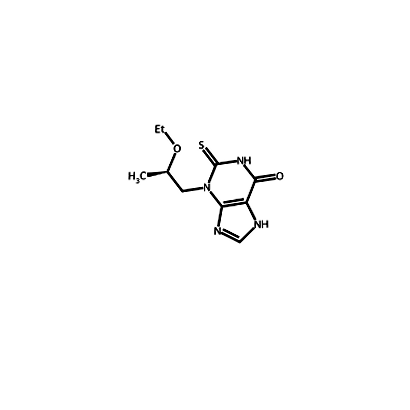 CCO[C@H](C)Cn1c(=S)[nH]c(=O)c2[nH]cnc21